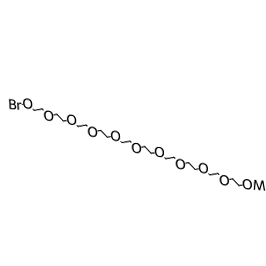 COCCOCCOCCOCCOCCOCCOCCOCCOCCOCCOBr